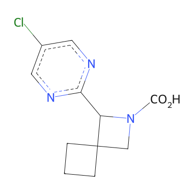 O=C(O)N1CC2(CCC2)C1c1ncc(Cl)cn1